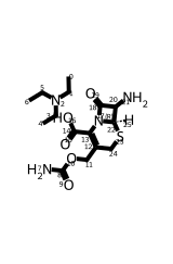 CCN(CC)CC.NC(=O)OCC1=C(C(=O)O)N2C(=O)C(N)[C@H]2SC1